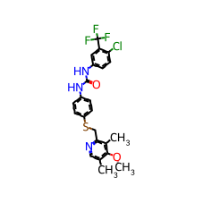 COc1c(C)cnc(CSc2ccc(NC(=O)Nc3ccc(Cl)c(C(F)(F)F)c3)cc2)c1C